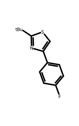 CC(C)(C)c1nc(-c2ccc(F)cc2)cs1